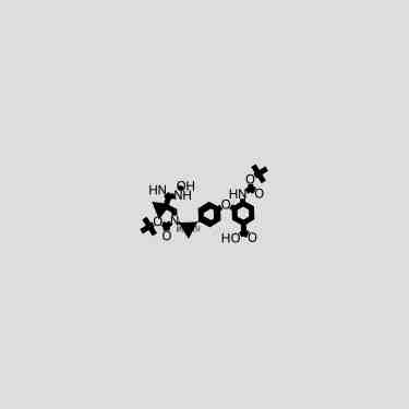 CC(C)(C)OC(=O)NC1CCC(C(=O)O)CC1Oc1ccc([C@@H]2C[C@H]2N(CC2(C(=N)NO)CC2)C(=O)OC(C)(C)C)cc1